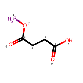 O=C(O)CCC(=O)OP